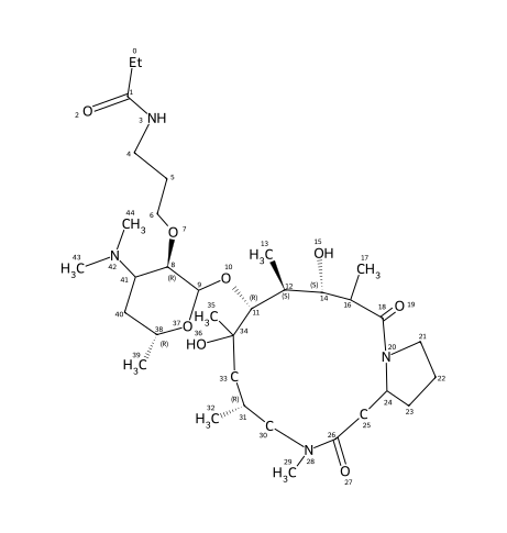 CCC(=O)NCCCO[C@H]1C(O[C@@H]2[C@@H](C)[C@H](O)C(C)C(=O)N3CCCC3CC(=O)N(C)C[C@H](C)CC2(C)O)O[C@H](C)CC1N(C)C